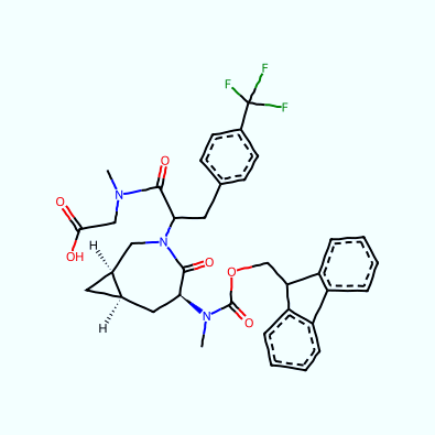 CN(CC(=O)O)C(=O)C(Cc1ccc(C(F)(F)F)cc1)N1C[C@@H]2C[C@@H]2C[C@H](N(C)C(=O)OCC2c3ccccc3-c3ccccc32)C1=O